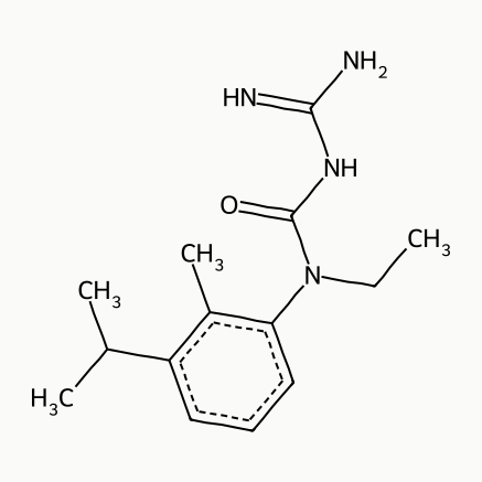 CCN(C(=O)NC(=N)N)c1cccc(C(C)C)c1C